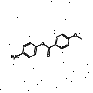 COc1ccc(C(=O)Oc2ccc(N)cc2)cc1